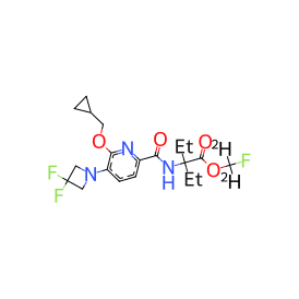 [2H]C([2H])(F)OC(=O)C(CC)(CC)NC(=O)c1ccc(N2CC(F)(F)C2)c(OCC2CC2)n1